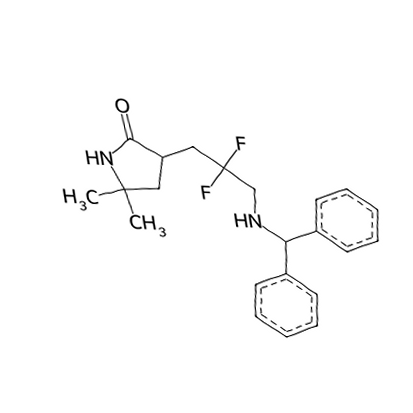 CC1(C)CC(CC(F)(F)CNC(c2ccccc2)c2ccccc2)C(=O)N1